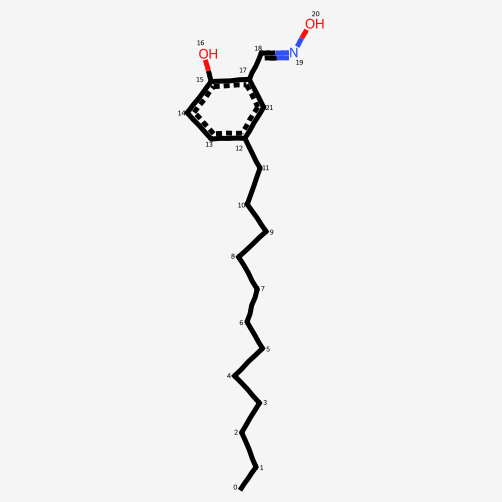 CCCCCCCCCCCCc1ccc(O)c(C=NO)c1